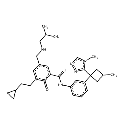 CC(C)CNCc1cc(C(=O)Nc2cccc(C3(c4nncn4C)CC(C)C3)c2)c(=O)n(CCC2CC2)c1